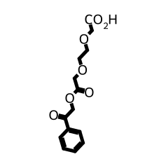 O=C(O)COCCOCC(=O)OCC(=O)c1ccccc1